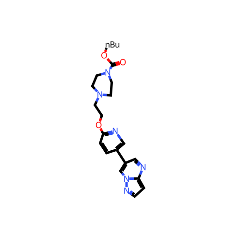 CCCCOC(=O)N1CCN(CCOc2ccc(-c3cnc4ccnn4c3)cn2)CC1